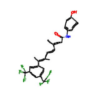 CC(/C=C/C(C)=C(\C)c1cc(C(F)(F)F)cc(C(F)(F)F)c1)=C\C(=O)Nc1ccc(O)cc1